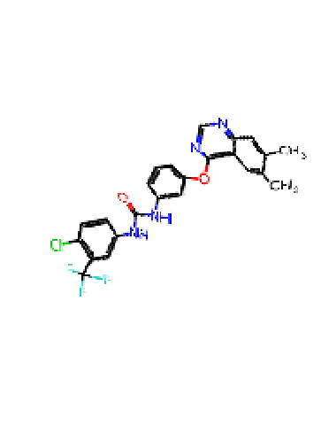 Cc1cc2ncnc(Oc3cccc(NC(=O)Nc4ccc(Cl)c(C(F)(F)F)c4)c3)c2cc1C